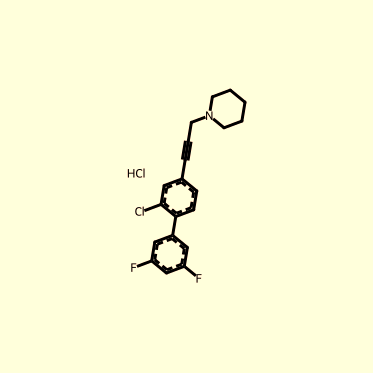 Cl.Fc1cc(F)cc(-c2ccc(C#CCN3CCCCC3)cc2Cl)c1